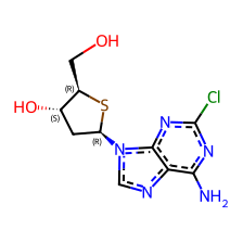 Nc1nc(Cl)nc2c1ncn2[C@H]1C[C@H](O)[C@@H](CO)S1